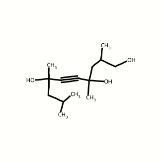 CC(C)CC(C)(O)C#CC(C)(O)CC(C)CO